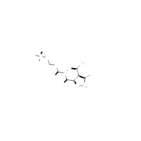 Cc1c2c(N)nn(C(=O)OCOP(=O)(O)O)c(=O)c2nn1C